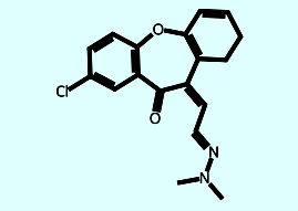 CN(C)N=CC=C1C(=O)c2cc(Cl)ccc2OC2=C1CCC=C2